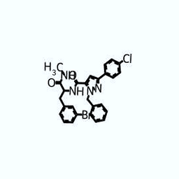 CNC(=O)C(Cc1cccc(Br)c1)NC(=O)c1cc(-c2ccc(Cl)cc2)nn1Cc1ccccc1